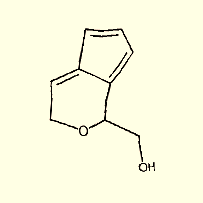 OCC1OCC=C2C=CC=C21